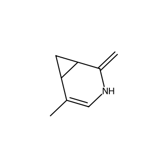 C=C1NC=C(C)C2CC12